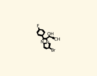 C#CC(O)c1c(-c2ccc(F)cc2)nc2ccc(Br)cn12